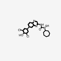 O=C(Nc1cnc2ccc(-c3cc(Cl)c(O)c(Cl)c3)cc2n1)N(S)C1CCCCCC1